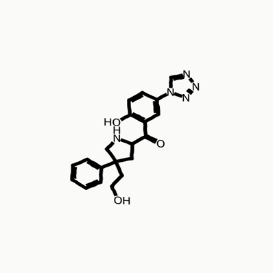 O=C(c1cc(-n2cnnn2)ccc1O)C1CC(CCO)(c2ccccc2)CN1